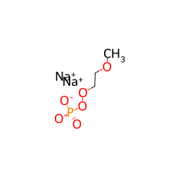 COCCOOP(=O)([O-])[O-].[Na+].[Na+]